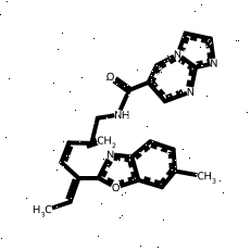 C=C(/C=C\C(=C/C)c1nc2ccc(C)cc2o1)CNC(=O)c1cnc2nccn2c1